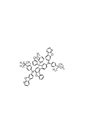 Cc1cccc(C2(c3cccc(C)c3)c3cc(N(c4ccc(S(C)(C)C)cc4)c4ccc5c(c4)oc4ncccc45)ccc3-c3c2cc(N(c2ccc([Si](C)(C)C)cc2)c2ccc4c(c2)oc2ncccc24)c2oc4ccccc4c32)c1